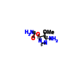 COc1c(N)ncnc1OC(N)=O